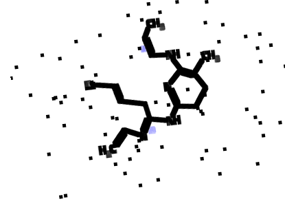 C=C/N=C(\CC=CCC)NC1=NC(N/C=C\C)=C(C)CC1